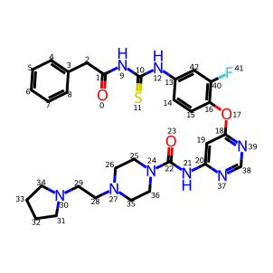 O=C(Cc1ccccc1)NC(=S)Nc1ccc(Oc2cc(NC(=O)N3CCN(CCN4CCCC4)CC3)ncn2)c(F)c1